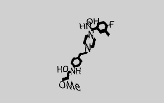 COCC[C@H](O)NC1CCC(CCN2CCN([C@H](NO)C3C=C(C)[C@@H](F)CC3)CC2)CC1